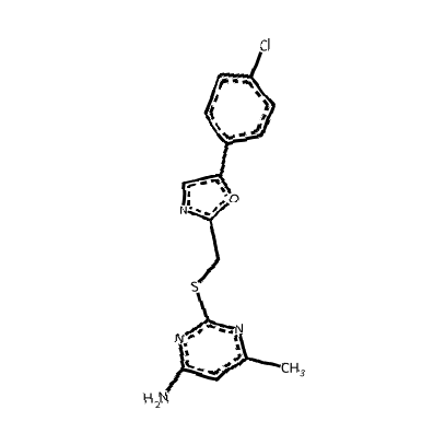 Cc1cc(N)nc(SCc2ncc(-c3ccc(Cl)cc3)o2)n1